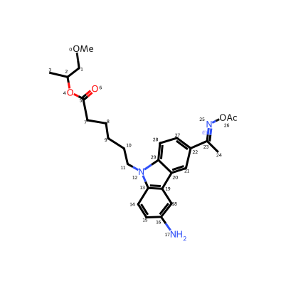 COCC(C)OC(=O)CCCCCn1c2ccc(N)cc2c2cc(/C(C)=N/OC(C)=O)ccc21